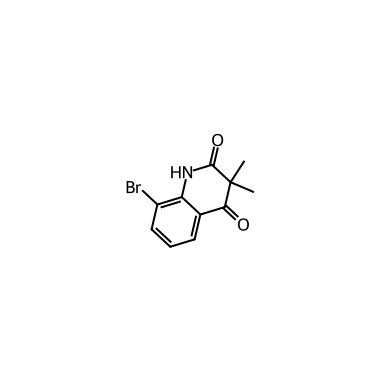 CC1(C)C(=O)Nc2c(Br)cccc2C1=O